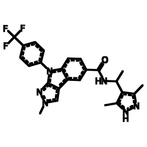 Cc1n[nH]c(C)c1C(C)NC(=O)c1ccc2c(c1)c1cn(C)nc1n2-c1ccc(C(F)(F)F)cc1